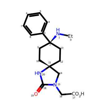 CCN[C@]1(c2ccccc2)CC[C@@]2(CC1)CN(CC(=O)O)C(=O)N2